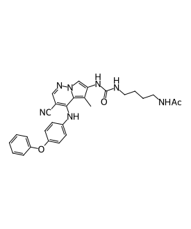 CC(=O)NCCCCNC(=O)Nc1cn2ncc(C#N)c(Nc3ccc(Oc4ccccc4)cc3)c2c1C